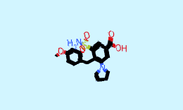 COc1ccc(Cc2c(N3CCCC3)cc(C(=O)O)cc2S(N)(=O)=O)cc1